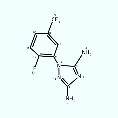 Nc1nc(N)n(-c2cc(C(F)(F)F)ccc2F)n1